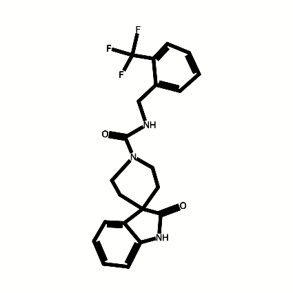 O=C(NCc1ccccc1C(F)(F)F)N1CCC2(CC1)C(=O)Nc1ccccc12